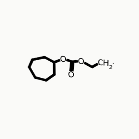 [CH2]COC(=O)OC1CCCCCC1